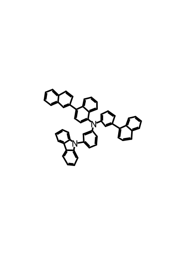 c1cc(-c2cccc3ccccc23)cc(N(c2cccc(-n3c4ccccc4c4ccccc43)c2)c2ccc(-c3ccc4ccccc4c3)c3ccccc23)c1